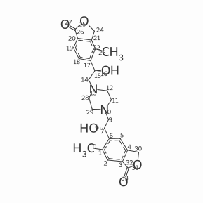 Cc1cc2c(cc1[C@H](O)CN1CCN(C[C@H](O)c3ccc4c(c3C)COC4=O)CC1)COC2=O